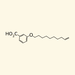 C=CCCCCCCCCOc1cccc(C(=O)O)c1